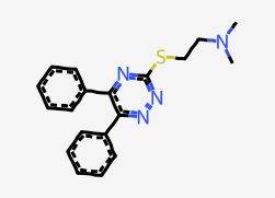 CN(C)CCSc1nnc(-c2ccccc2)c(-c2ccccc2)n1